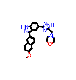 COc1ccc2cc(-c3n[nH]c4ccc(-c5n[nH]c(CN6CCOCC6)n5)cc34)ccc2c1